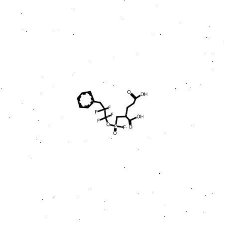 O=C(O)CCC(CP(=O)(F)OC(F)(F)C(F)(F)Cc1ccccc1)C(=O)O